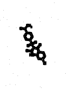 CC(=O)c1ccc(S(=O)(=O)n2c(=O)[nH]c3cc(Cl)ccc3c2=O)cc1